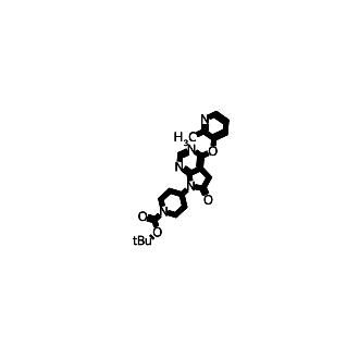 Cc1ncccc1Oc1ncnc2c1CC(=O)N2C1CCN(C(=O)OC(C)(C)C)CC1